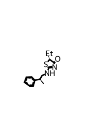 CC[C@H]1SC(NC[C@@H](C)c2ccccc2)=NC1=O